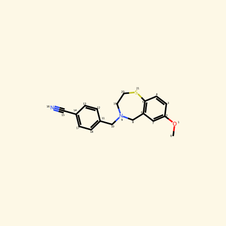 COc1ccc2c(c1)CN(Cc1ccc(C#N)cc1)CCS2